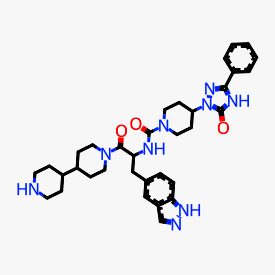 O=C(NC(Cc1ccc2[nH]ncc2c1)C(=O)N1CCC(C2CCNCC2)CC1)N1CCC(n2nc(-c3ccccc3)[nH]c2=O)CC1